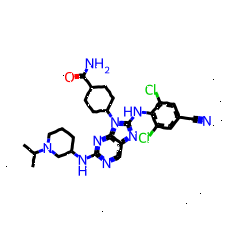 CC(C)N1CCCC(Nc2ncc3nc(Nc4c(Cl)cc(C#N)cc4Cl)n(C4CCC(C(N)=O)CC4)c3n2)C1